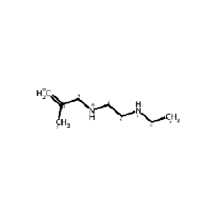 C=C(C)CNCCNCC